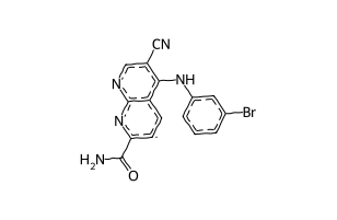 N#Cc1cnc2nc(C(N)=O)[c]cc2c1Nc1cccc(Br)c1